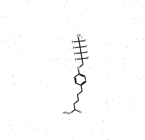 CCCCCC([O])CCCCc1ccc(OCC(F)(F)C(F)(F)C(F)(F)C(F)(F)C(F)(F)F)cc1